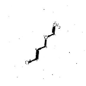 C=COCC=CCl